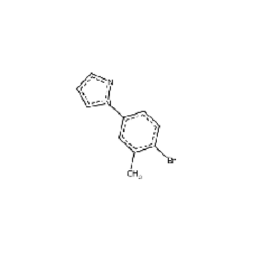 Cc1cc(-n2cccn2)ccc1Br